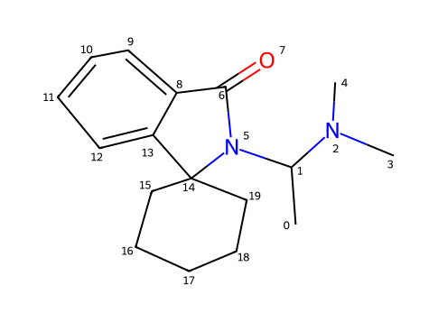 CC(N(C)C)N1C(=O)c2ccccc2C12CCCCC2